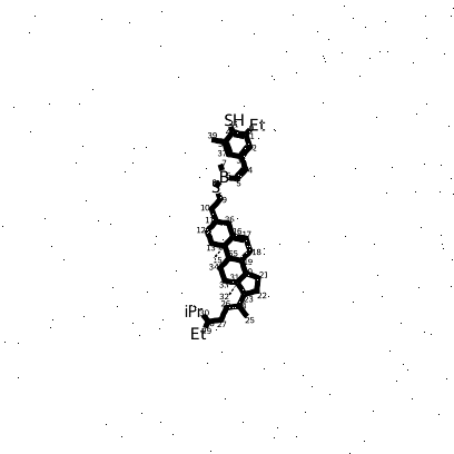 CCc1cc(/C=C\B(C)SCCC2CC[C@@]3(C)C(=CCC4C5CCC(C(C)CCC(CC)C(C)C)[C@@]5(C)CCC43)C2)cc(C)c1S